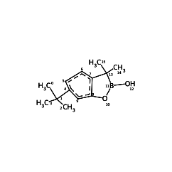 CC(C)(C)c1ccc2c(c1)OB(O)C2(C)C